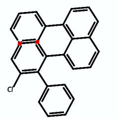 Clc1cccc(-c2cccc3cccc(-c4cccnc4)c23)c1-c1ccccc1